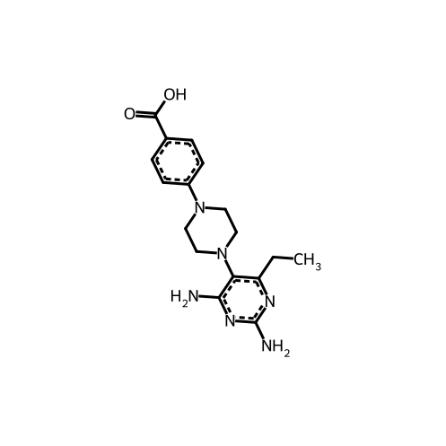 CCc1nc(N)nc(N)c1N1CCN(c2ccc(C(=O)O)cc2)CC1